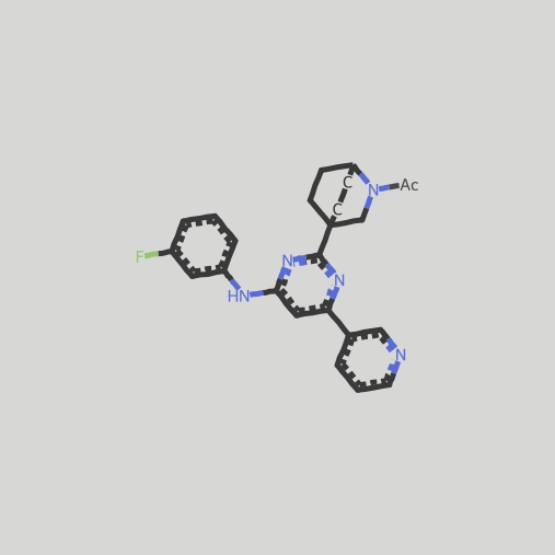 CC(=O)N1CC2(c3nc(Nc4cccc(F)c4)cc(-c4cccnc4)n3)CCC1CC2